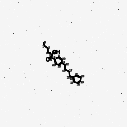 CCCCN(O)C(=O)c1ccc(/C=C/CCc2ccccc2)cc1